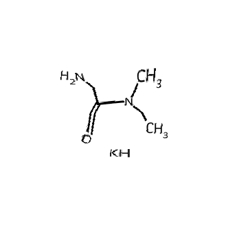 CN(C)C(N)=O.[KH]